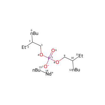 CCCCC(CC)COP(=O)([O-])OCC(CC)CCCC.CCC[CH2][Nd+]